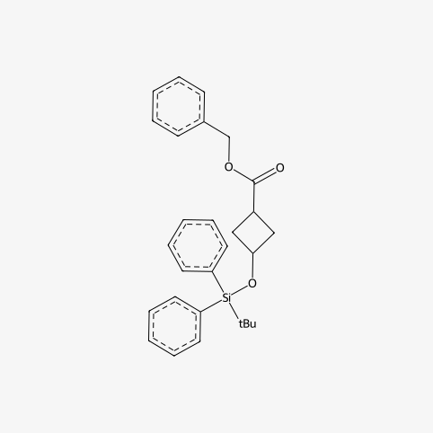 CC(C)(C)[Si](OC1CC(C(=O)OCc2ccccc2)C1)(c1ccccc1)c1ccccc1